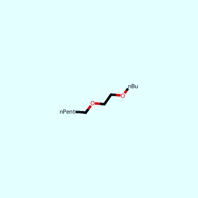 [CH2]CCCOCCOCCCCCC